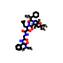 C[C@H](C(=O)N1C[C@@H]2OC(C)(C)C[C@@H]2[C@H]1C(=O)NC(CC1CC1)C(=O)C(=O)NCC(=O)N[C@H](C(=O)N(C)C)c1ccccc1)C1CCCCC1